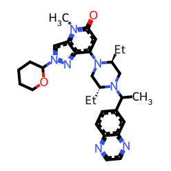 CC[C@H]1CN(C(C)c2ccc3nccnc3c2)[C@H](CC)CN1c1cc(=O)n(C)c2cn(C3CCCCO3)nc12